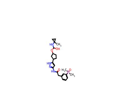 CC1(NC(O)OC2CCC(c3cc(NC(=O)Cc4cccc(P(C)(C)=O)c4)n[nH]3)C2)CC1